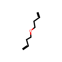 C=CCCOCCC=C